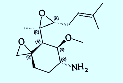 CO[C@H]1[C@H](N)CC[C@]2(CO2)[C@H]1[C@@]1(C)O[C@@H]1CC=C(C)C